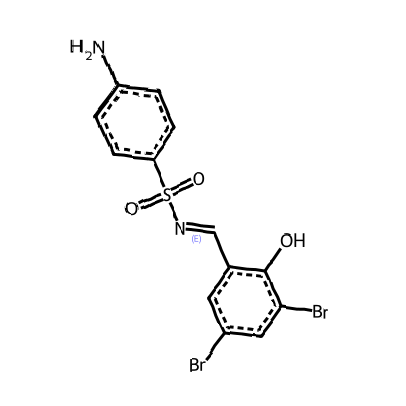 Nc1ccc(S(=O)(=O)/N=C/c2cc(Br)cc(Br)c2O)cc1